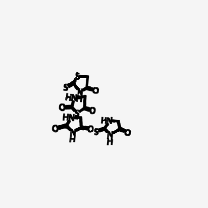 O=C1CNC(=O)N1.O=C1CNC(=O)S1.O=C1CNC(=S)N1.O=C1CSC(=S)N1